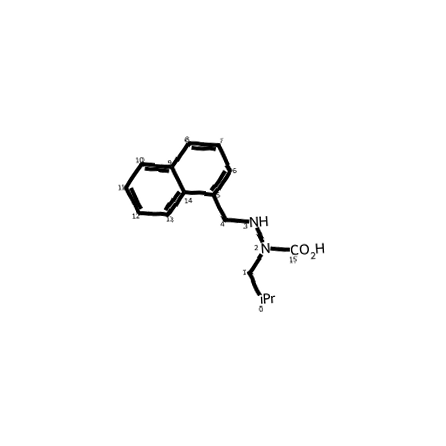 CC(C)CN(NCc1cccc2ccccc12)C(=O)O